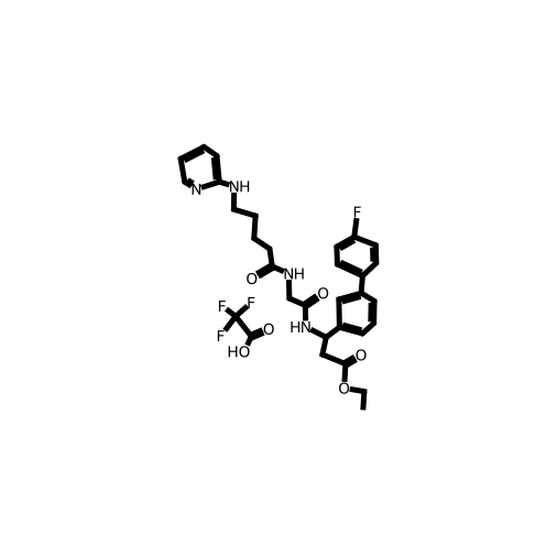 CCOC(=O)CC(NC(=O)CNC(=O)CCCCNc1ccccn1)c1cccc(-c2ccc(F)cc2)c1.O=C(O)C(F)(F)F